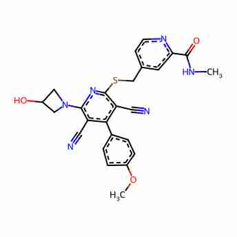 CNC(=O)c1cc(CSc2nc(N3CC(O)C3)c(C#N)c(-c3ccc(OC)cc3)c2C#N)ccn1